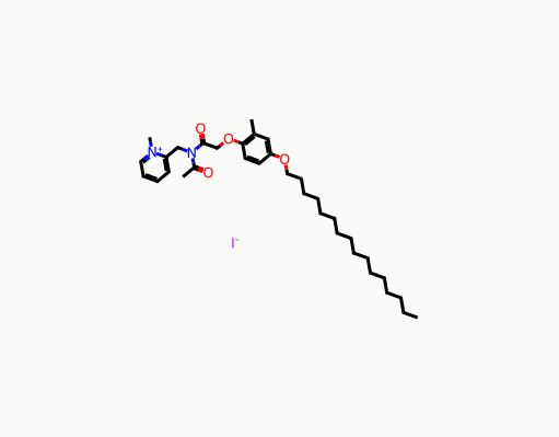 CCCCCCCCCCCCCCCCOc1ccc(OCC(=O)N(Cc2cccc[n+]2C)C(C)=O)c(C)c1.[I-]